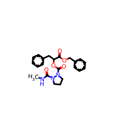 CNC(=O)N1CCCN1C(=O)OC(Cc1ccccc1)C(=O)OCc1ccccc1